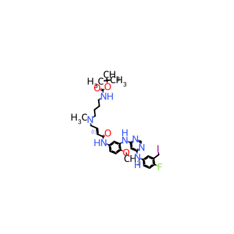 COc1ccc(NC(=O)/C=C/CN(C)CCCCNC(=O)OC(C)(C)C)cc1Nc1cc(Nc2ccc(F)c(CI)c2)ncn1